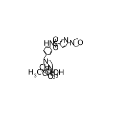 CC(C)(C)[C@@]1(C)CN(Cc2ccc(NS(=O)(=O)c3ccc(N4CCOCC4)nc3)cc2)CCN1C(=O)O